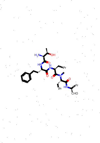 CC(C)C[C@H](NC(=O)[C@H](CCc1ccccc1)NC(=O)[C@@H](N)[C@@H](C)O)C(=O)N(C)[C@@H](CC(C)C)C(=O)N[C@H](C=O)C(C)C